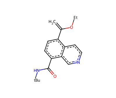 C=C(OCC)c1ccc(C(=O)NC(C)(C)C)c2cnccc12